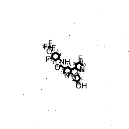 O=C(Nc1ccc(OC(F)(F)F)c(F)c1)c1cnc(N2CC[C@@H](O)C2)c(-c2cncc(F)c2)c1